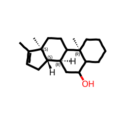 CC1=CC[C@H]2[C@@H]3CC(O)C4CCCC[C@]4(C)C3CC[C@]12C